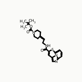 CC(C)(C)OC(=O)N1CCC(=CCNC(=O)C2=Cc3cnc4cccc(n34)S2)CC1